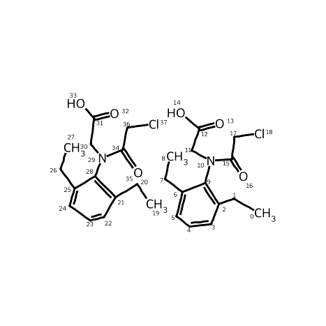 CCc1cccc(CC)c1N(CC(=O)O)C(=O)CCl.CCc1cccc(CC)c1N(CC(=O)O)C(=O)CCl